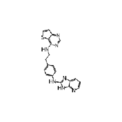 c1cnc2[nH]c(Nc3ccc(CCNc4ncnc5ccsc45)cc3)nc2c1